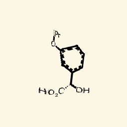 CC(C)Oc1cccc([C@H](O)C(=O)O)c1